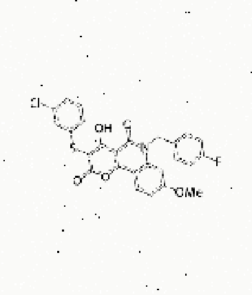 COc1ccc2c3oc(=O)c(Sc4cccc(Cl)c4)c(O)c3c(=O)n(Cc3ccc(F)cc3)c2c1